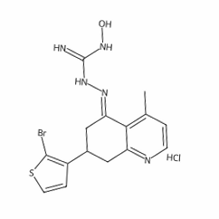 Cc1ccnc2c1C(=NNC(=N)NO)CC(c1ccsc1Br)C2.Cl